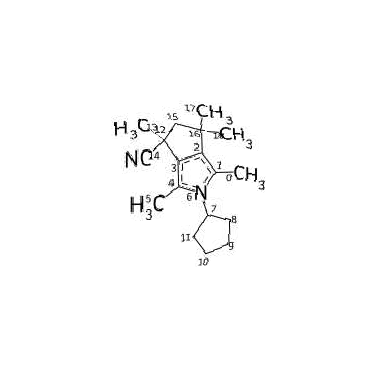 Cc1c2c(c(C)n1C1CCCC1)C(C)(C#N)CC2(C)C